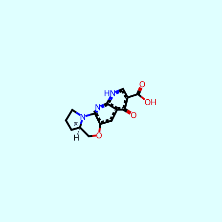 O=C(O)c1c[nH]c2nc3c(cc2c1=O)OC[C@H]1CCCN31